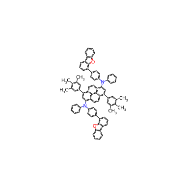 Cc1cc(-c2cc(N(c3ccccc3)c3ccc(-c4cccc5c4oc4ccccc45)cc3)c3ccc4c(-c5cc(C)c(C)c(C)c5)cc(N(c5ccccc5)c5ccc(-c6cccc7c6oc6ccccc67)cc5)c5ccc2c3c45)cc(C)c1C